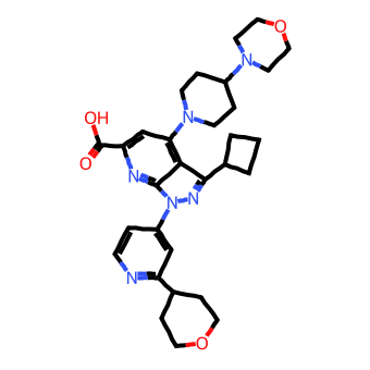 O=C(O)c1cc(N2CCC(N3CCOCC3)CC2)c2c(C3CCC3)nn(-c3ccnc(C4CCOCC4)c3)c2n1